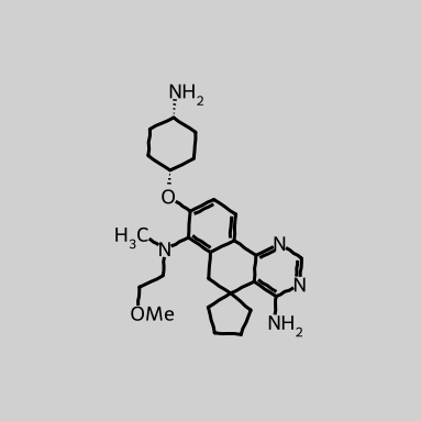 COCCN(C)c1c(O[C@H]2CC[C@@H](N)CC2)ccc2c1CC1(CCCC1)c1c(N)ncnc1-2